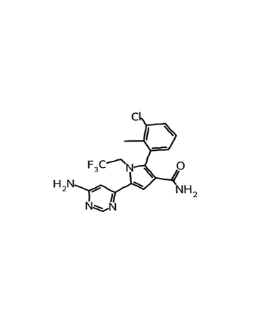 Cc1c(Cl)cccc1-c1c(C(N)=O)cc(-c2cc(N)ncn2)n1CC(F)(F)F